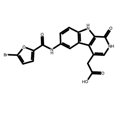 O=C(O)Cc1c[nH]c(=O)c2[nH]c3ccc(NC(=O)c4ccc(Br)o4)cc3c12